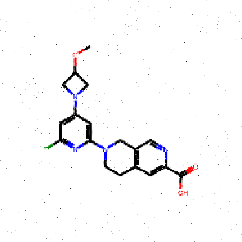 COC1CN(c2cc(F)nc(N3CCc4cc(C(=O)O)ncc4C3)c2)C1